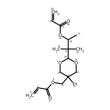 C=CC(=O)OCC1(CC)COC(C(C)(C)C(I)OC(=O)C=C)OC1